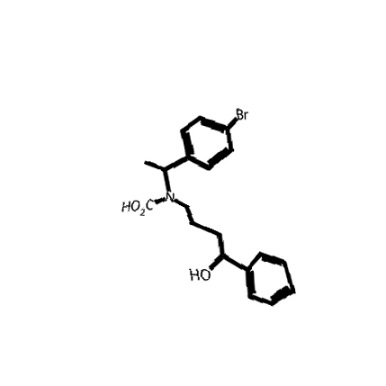 CC(c1ccc(Br)cc1)N(CCCC(O)c1ccccc1)C(=O)O